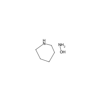 C1CCNCC1.NO